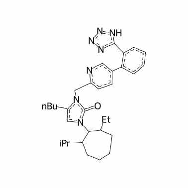 CCCCc1cn(C2C(CC)CCCCC2C(C)C)c(=O)n1Cc1ccc(-c2ccccc2-c2nnn[nH]2)cn1